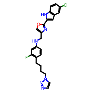 Fc1cc(NCc2coc(-c3cc4cc(Cl)ccc4[nH]3)n2)ccc1CCCCn1ccnn1